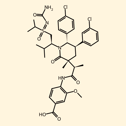 COc1cc(C(=O)O)ccc1NC(=O)[C@H](C)[C@@]1(C)C[C@H](c2cccc(Cl)c2)[C@@H](c2ccc(Cl)cc2)N([C@H](CS(=O)(=NC(N)=O)C(C)C)C(C)C)C1=O